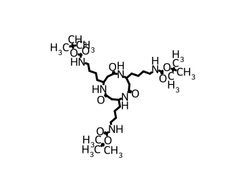 CC(C)(C)OC(=O)NCCCCC1CC(=O)NC(CCCCNC(=O)OC(C)(C)C)CC(=O)NC(CCCCNC(=O)OC(C)(C)C)CC(=O)N1